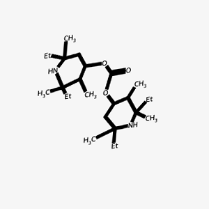 CCC1(C)CC(OC(=O)OC2CC(C)(CC)NC(C)(CC)C2C)C(C)C(C)(CC)N1